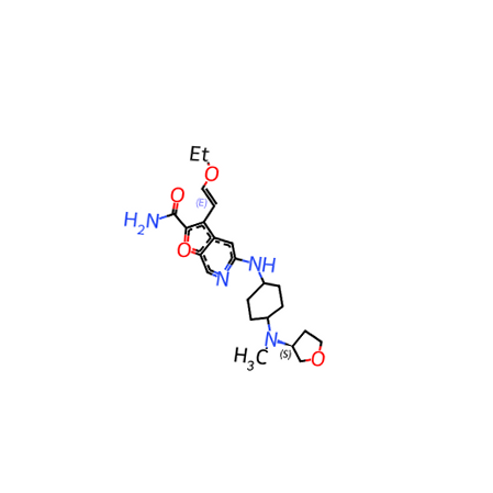 CCO/C=C/c1c(C(N)=O)oc2cnc(NC3CCC(N(C)[C@H]4CCOC4)CC3)cc12